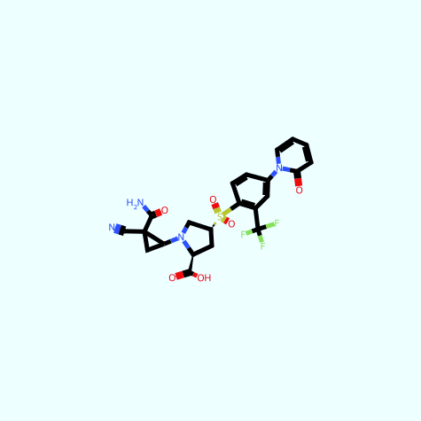 N#CC1(C(N)=O)CC1N1C[C@H](S(=O)(=O)c2ccc(-n3ccccc3=O)cc2C(F)(F)F)C[C@H]1C(=O)O